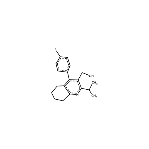 CC(C)c1nc2c(c(-c3ccc(F)cc3)c1CO)CCCC2